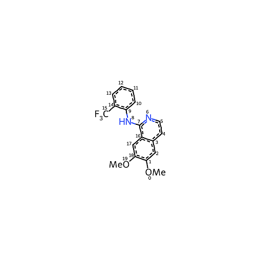 COc1cc2ccnc(Nc3ccccc3C(F)(F)F)c2cc1OC